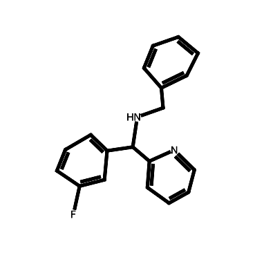 Fc1cccc(C(NCc2ccccc2)c2ccccn2)c1